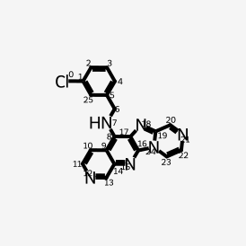 Clc1cccc(CNc2c3ccncc3nc3c2nc2cnccn23)c1